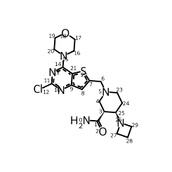 NC(=O)[C@H]1CN(Cc2cc3nc(Cl)nc(N4CCOCC4)c3s2)CC[C@H]1N1CCC1